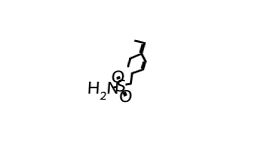 C/C=C(/C=C\CCS(N)(=O)=O)CC